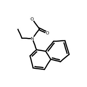 CCN(C([O])=O)c1cccc2ccccc12